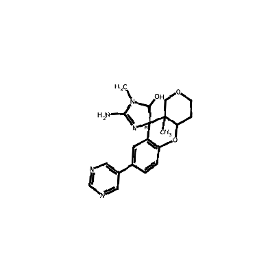 CN1C(N)=N[C@]2(c3cc(-c4cncnc4)ccc3OC3CCOCC32C)C1O